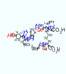 CC(C)CC(NC(=O)Cc1ccc(N/C(=C\[N+](=O)[O-])Nc2ccc(O)cc2)cc1)C(=O)NC(CCCCC(NC(=O)CC(C)(C)C)C(=O)O)C(=O)O